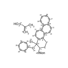 C=C(C)C(=O)O.CCCCCCCCCC1CCc2c(ccc3c2ccc2ccccc23)C1(CC)Oc1ccccc1